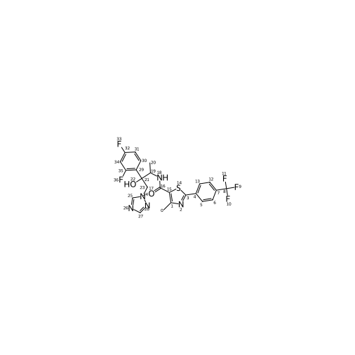 Cc1nc(-c2ccc(C(F)(F)F)cc2)sc1C(=O)NC(C)C(O)(Cn1cncn1)c1ccc(F)cc1F